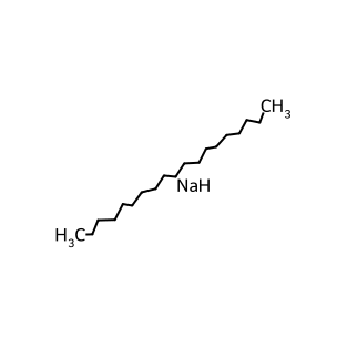 CCCCCCCCCCCCCCCCCCC.[NaH]